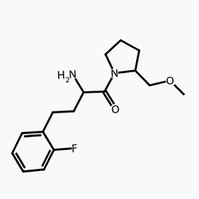 COCC1CCCN1C(=O)C(N)CCc1ccccc1F